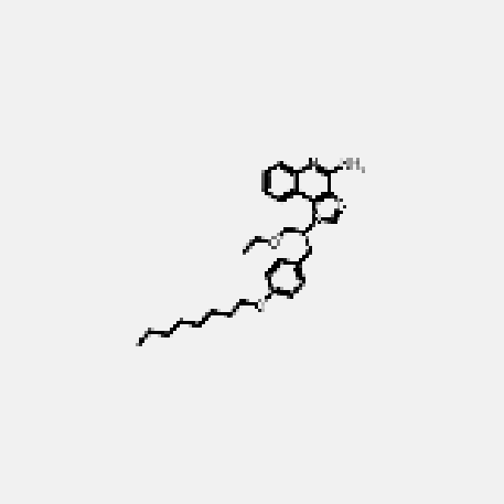 CCCCCCCCOc1ccc(C[C@@H](COCC)n2cnc3c(N)nc4ccccc4c32)cc1